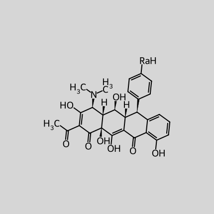 CC(=O)C1=C(O)[C@@H](N(C)C)[C@@H]2[C@@H](O)[C@H]3C(=C(O)[C@]2(O)C1=O)C(=O)c1c(O)cccc1[C@@H]3c1cc[c]([RaH])cc1